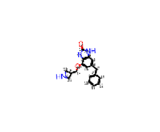 O=C1[N]c2c(cc(Cc3ccccc3)cc2OCC2CNC2)N1